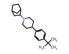 CC(C)(C)c1ccc(C2CCN(C3CC4CCC3C4)CC2)cc1